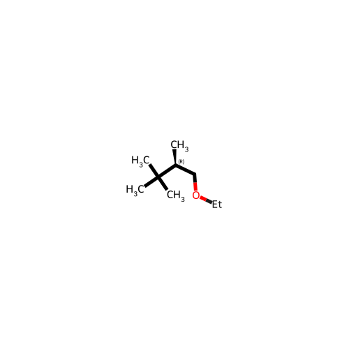 CCOC[C@H](C)C(C)(C)C